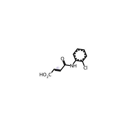 O=C(O)/C=C/C(=O)Nc1ccccc1Cl